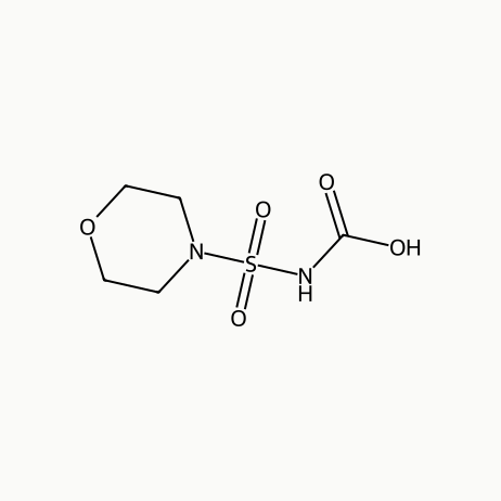 O=C(O)NS(=O)(=O)N1CCOCC1